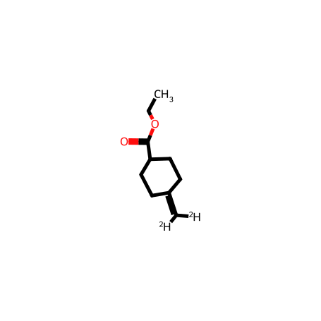 [2H]C([2H])=C1CCC(C(=O)OCC)CC1